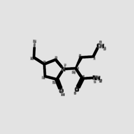 CCC[C@@H](C(N)=O)N1CC(CI)CC1=O